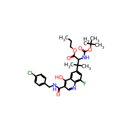 CCCOC(=O)C(NC(=O)OC(C)(C)C)C(C)(C)c1cc(F)c2ncc(C(=O)NCc3ccc(Cl)cc3)c(O)c2c1